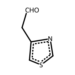 O=CCc1cscn1